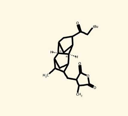 CC1C(=O)OC(=O)C1CC1C(C)C2CC1[C@@H]1C3CC(CC3C(=O)CC(C)(C)C)[C@H]21